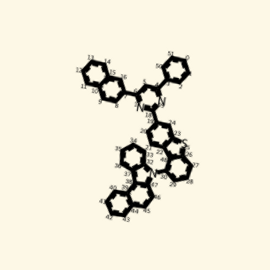 c1ccc(-c2cc(-c3ccc4ccccc4c3)nc(-c3ccc4c(c3)sc3cccc(-n5c6ccccc6c6c7ccccc7ccc65)c34)n2)cc1